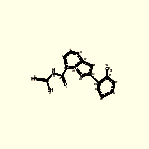 N=C(S)NC(=O)c1ccnc2cc(-c3ccccc3C(F)(F)F)nn12